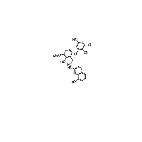 COc1cccc(CC#N)c1O.N#Cc1c(Cl)cc(O)cc1Cl.N#Cc1ccc2cccc(O)c2n1